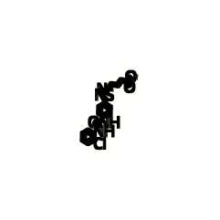 COC(=O)CCCc1nnc(-c2ccc(NC(=O)Nc3ccccc3Cl)cc2)s1